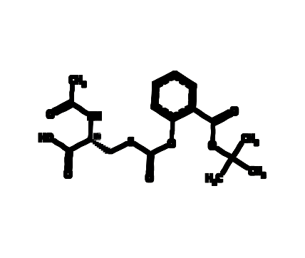 CC(=O)N[C@H](CSC(=O)Oc1ccccc1C(=O)OC(C)(C)C)C(=O)O